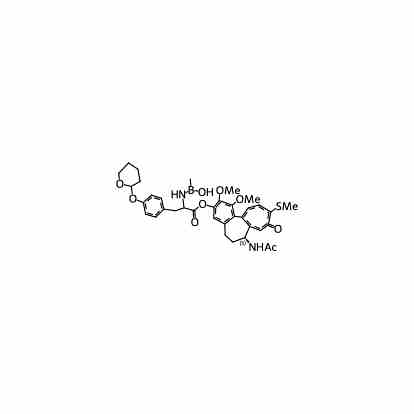 COc1c(OC(=O)C(Cc2ccc(OC3CCCCO3)cc2)NB(C)O)cc2c(c1OC)-c1ccc(SC)c(=O)cc1[C@@H](NC(C)=O)CC2